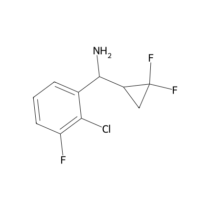 NC(c1cccc(F)c1Cl)C1CC1(F)F